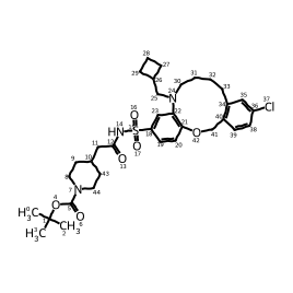 CC(C)(C)OC(=O)N1CCC(CC(=O)NS(=O)(=O)c2ccc3c(c2)N(CC2CCC2)CCCCc2cc(Cl)ccc2CO3)CC1